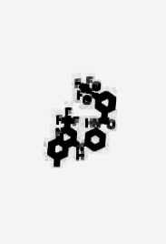 Cc1ccc2nc(C(F)(F)F)cc(N[C@H]3CCC[C@@H](NC(=O)c4cccc(S(=O)(=O)C(F)(F)F)c4)C3)c2c1